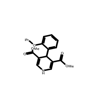 COC(=O)C1=CNC=C(C(=O)OC)C1c1ccccc1OC(C)C